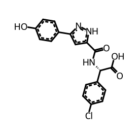 O=C(N[C@H](C(=O)O)c1ccc(Cl)cc1)c1cc(-c2ccc(O)cc2)n[nH]1